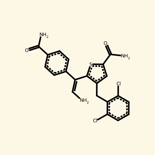 N/C=C(/c1ccc(C(N)=O)cc1)c1sc(C(N)=O)cc1Cc1c(Cl)cccc1Cl